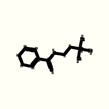 CC[N+](CC)(CC)CCOC(=O)C1=CCCC=C1